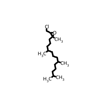 CC(C)CCCC(C)CCCC(C)CCCC1(C)OC1CCl